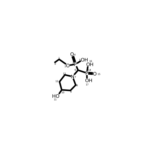 CCOP(=O)(O)C(N1CCC(O)CC1)P(=O)(O)O